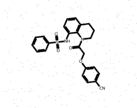 N#Cc1ccc(OCC(=O)N2CCCc3cccc(NS(=O)(=O)c4ccccc4)c32)cc1